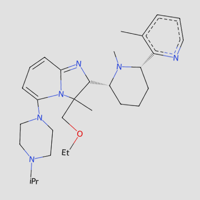 CCOCC1(C)C([C@H]2CCC[C@@H](c3ncccc3C)N2C)N=C2C=CC=C(N3CCN(C(C)C)CC3)N21